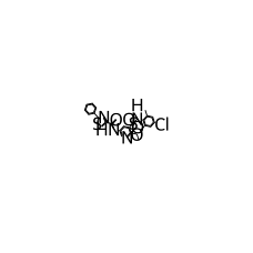 COc1ncc(NC(=O)c2csc(-c3ccccc3)n2)cc1S(=O)(=O)Nc1c(C)cc(Cl)cc1C